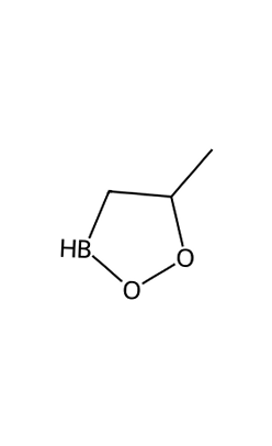 CC1CBOO1